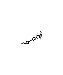 CCCCc1ccc(C#Cc2ccc(-c3cc(F)c(N=C=S)c(F)c3)cc2)cc1